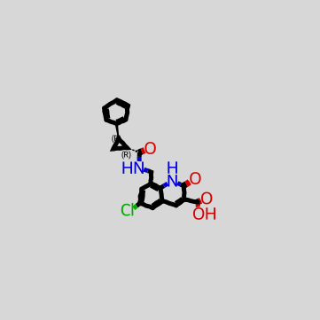 O=C(O)c1cc2cc(Cl)cc(CNC(=O)[C@@H]3C[C@H]3c3ccccc3)c2[nH]c1=O